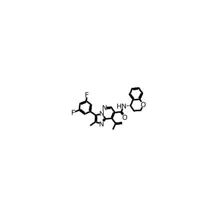 C=C(C)c1c(C(=O)N[C@H]2CCOc3ccccc32)cnn2c(-c3cc(F)cc(F)c3)c(C)nc12